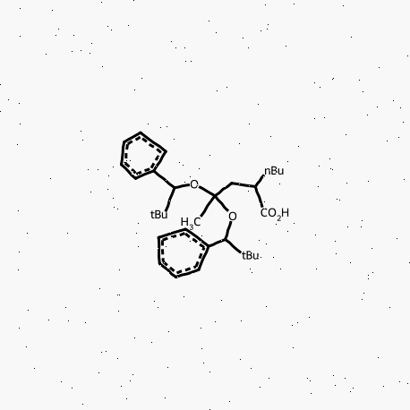 CCCCC(CC(C)(OC(c1ccccc1)C(C)(C)C)OC(c1ccccc1)C(C)(C)C)C(=O)O